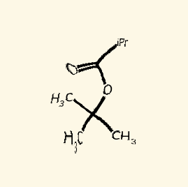 CC(C)C(=O)OC(C)(C)C